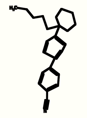 CCCCCC1(c2ccc(-c3ccc(C#N)cc3)cc2)CCCCC1